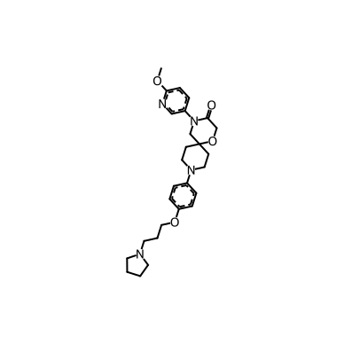 COc1ccc(N2CC3(CCN(c4ccc(OCCCN5CCCC5)cc4)CC3)OCC2=O)cn1